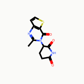 Cc1nc2ccsc2c(=O)n1C1CCC(=O)NC1=O